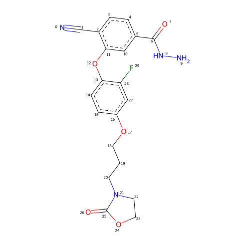 N#Cc1ccc(C(=O)NN)cc1Oc1ccc(OCCCN2CCOC2=O)cc1F